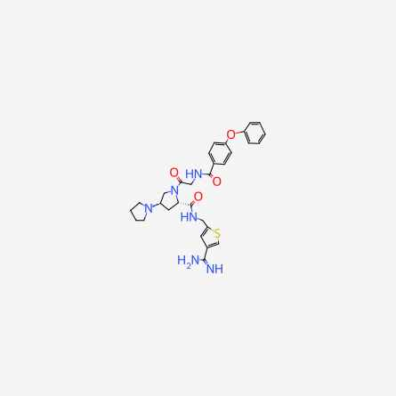 N=C(N)c1csc(CNC(=O)[C@@H]2C[C@@H](N3CCCC3)CN2C(=O)CNC(=O)c2ccc(Oc3ccccc3)cc2)c1